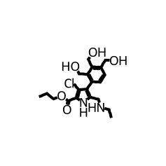 CCCOC(=O)c1[nH]c(CNCC)c(-c2ccc(CO)c(CO)c2CO)c1Cl